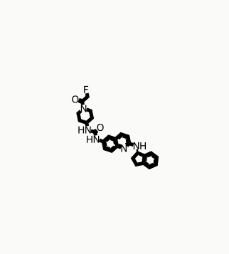 O=C(Nc1ccc2nc(N[C@@H]3CCc4ccccc43)ccc2c1)NC1CCN(C(=O)CF)CC1